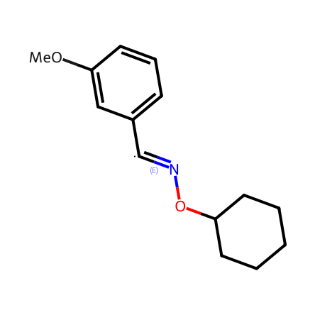 COc1cccc(/[C]=N/OC2CCCCC2)c1